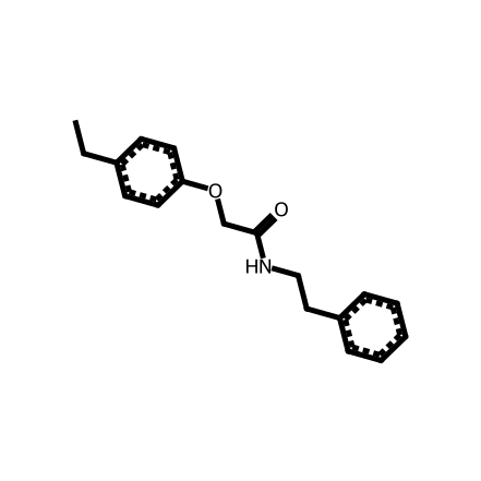 CCc1ccc(OCC(=O)NCCc2ccccc2)cc1